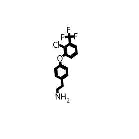 NCCc1ccc(Oc2cccc(C(F)(F)F)c2Cl)cc1